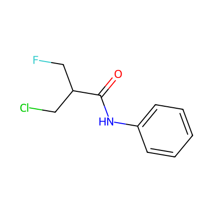 O=C(Nc1ccccc1)C(CF)CCl